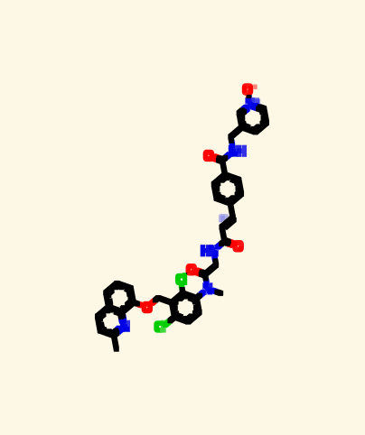 Cc1ccc2cccc(OCc3c(Cl)ccc(N(C)C(=O)CNC(=O)/C=C/c4ccc(C(=O)NCc5ccc[n+]([O-])c5)cc4)c3Cl)c2n1